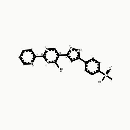 CP(=O)(O)c1ccc(-c2cc(-c3cnc(-c4ccccn4)nc3O)on2)cc1